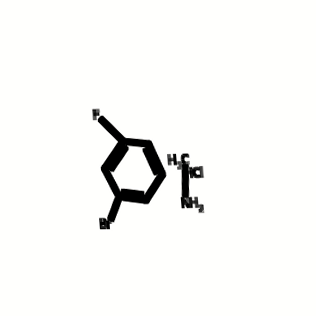 CN.Cl.Fc1cccc(Br)c1